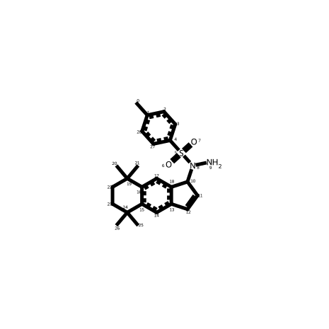 Cc1ccc(S(=O)(=O)N(N)C2C=Cc3cc4c(cc32)C(C)(C)CCC4(C)C)cc1